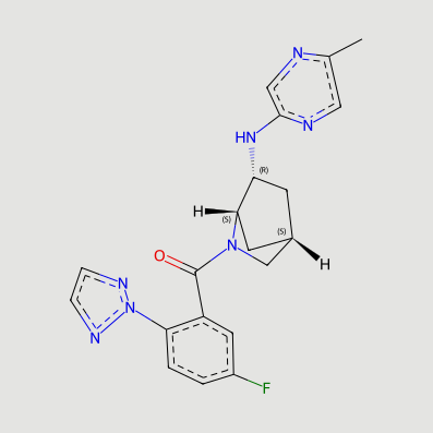 Cc1cnc(N[C@@H]2C[C@H]3C[C@@H]2N(C(=O)c2cc(F)ccc2-n2nccn2)C3)cn1